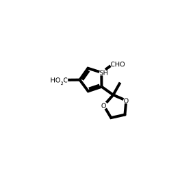 CC1(C2=CC(C(=O)O)=C[SH]2C=O)OCCO1